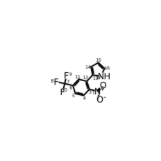 O=[N+]([O-])c1ccc(C(F)(F)F)cc1-c1ccc[nH]1